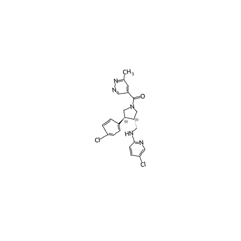 Cc1cc(C(=O)N2C[C@H](CNc3ccc(Cl)cn3)[C@@H](c3ccc(Cl)cc3)C2)cnn1